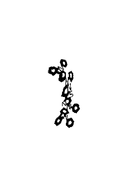 c1ccc(N(c2ccc3c4ccccc4n(-c4ccccc4)c3c2)c2cc3sc4nc(N(c5ccccc5)c5ccc6c7ccccc7n(-c7ccccc7)c6c5)ccc4c3cn2)cc1